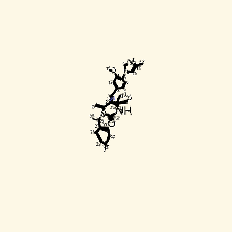 C=C1/C(=C/c2ccc(-n3cnc(C)c3)c(OC)c2)C(C)(C)NC(=O)N1[C@H](C)c1ccc(F)cc1